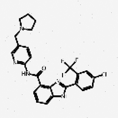 O=C(Nc1ccc(CN2CCCC2)cn1)c1cccc2[nH]c(-c3ccc(Cl)cc3C(F)(F)F)nc12